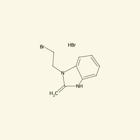 Br.C=C1Nc2ccccc2N1CCBr